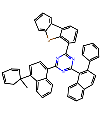 CC1(c2ccc(-c3nc(-c4c(-c5ccccc5)ccc5ccccc45)nc(-c4cccc5c4sc4ccccc45)n3)c3ccccc23)C=CC=CC1